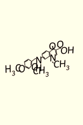 CCn1cc(C(=O)O)c(=O)c2ccc(NCc3ccc(OC)cc3OC)cc21